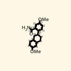 COc1ccc2c(c1)CCC(c1ccc(OC)cc1C(N)=O)C2